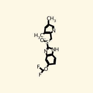 Cc1cnc(C[S+]([O-])c2nc3cc(OC(F)F)ccc3[nH]2)c(C)c1